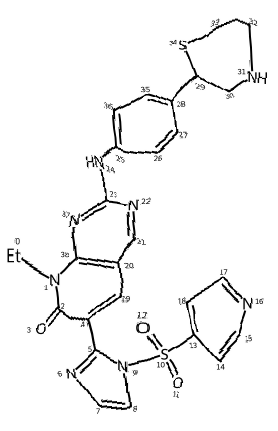 CCn1c(=O)c(-c2nccn2S(=O)(=O)c2ccncc2)cc2cnc(Nc3ccc(C4CNCCS4)cc3)nc21